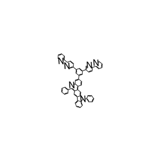 c1ccc(-c2nc3cc(-c4cc(-c5ccc(-c6ccccn6)nc5)cc(-c5ccc(-c6ccccn6)nc5)c4)ccc3c3cc4c(cc23)c2ccccc2n4-c2ccccc2)cc1